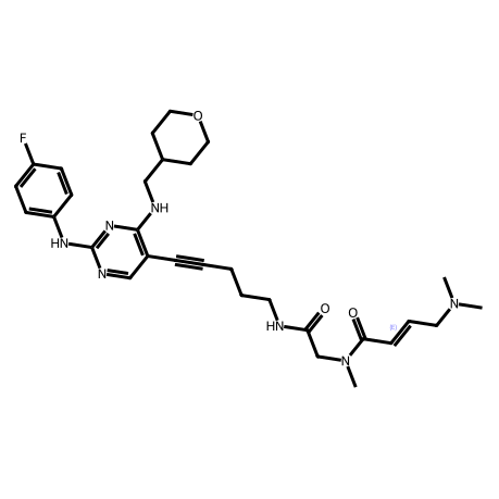 CN(C)C/C=C/C(=O)N(C)CC(=O)NCCCC#Cc1cnc(Nc2ccc(F)cc2)nc1NCC1CCOCC1